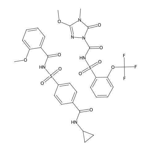 COc1ccccc1C(=O)NS(=O)(=O)c1ccc(C(=O)NC2CC2)cc1.COc1nn(C(=O)NS(=O)(=O)c2ccccc2OC(F)(F)F)c(=O)n1C